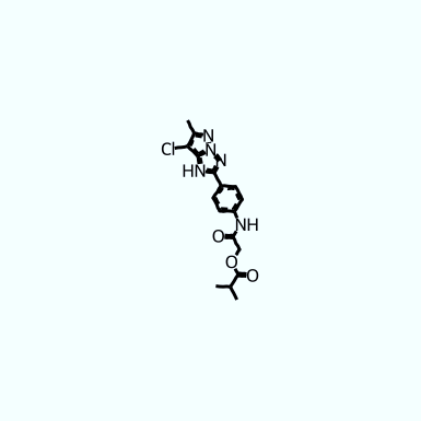 Cc1nn2nc(-c3ccc(NC(=O)COC(=O)C(C)C)cc3)[nH]c2c1Cl